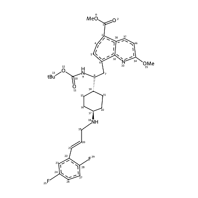 COC(=O)c1ccc(CC(NC(=O)OC(C)(C)C)[C@H]2CC[C@H](NC/C=C/c3cc(F)ccc3F)CC2)c2nc(OC)ccc12